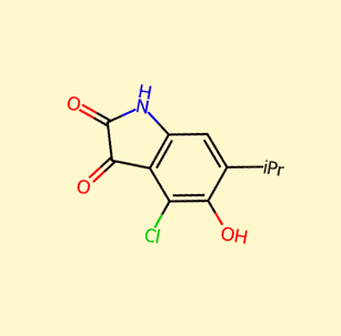 CC(C)c1cc2c(c(Cl)c1O)C(=O)C(=O)N2